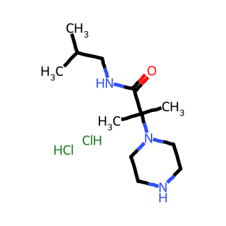 CC(C)CNC(=O)C(C)(C)N1CCNCC1.Cl.Cl